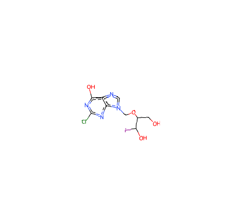 OCC(OCn1cnc2c(O)nc(Cl)nc21)C(O)I